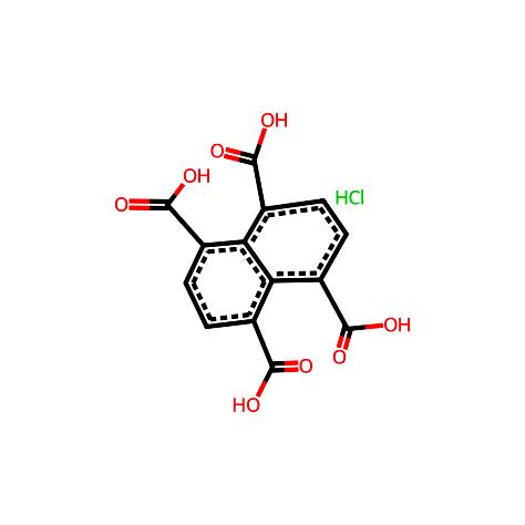 Cl.O=C(O)c1ccc(C(=O)O)c2c(C(=O)O)ccc(C(=O)O)c12